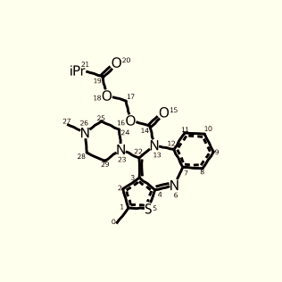 Cc1cc2c(s1)=Nc1ccccc1N(C(=O)OCOC(=O)C(C)C)C=2N1CCN(C)CC1